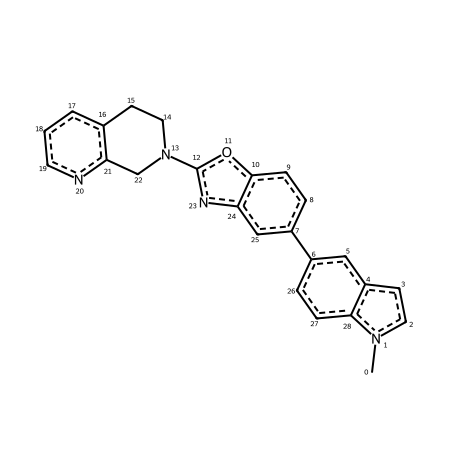 Cn1ccc2cc(-c3ccc4oc(N5CCc6cccnc6C5)nc4c3)ccc21